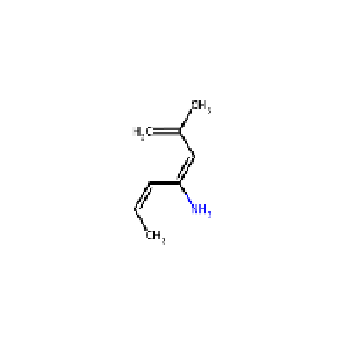 C=C(C)/C=C(N)\C=C/C